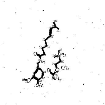 COc1cc(CNC(=O)CCCC/C=C/C(C)C)ccc1O.C[N+](C)(C)CCOC(N)=O.[Cl-]